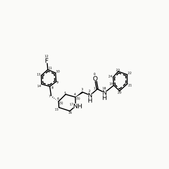 O=C(NC[C@@H]1C[C@@H](Cc2ccc(F)cc2)CCN1)Nc1ccccc1